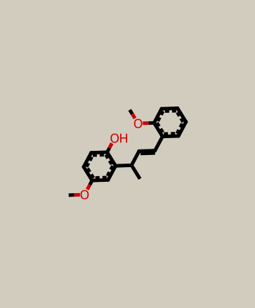 COc1ccc(O)c(C(C)C=Cc2ccccc2OC)c1